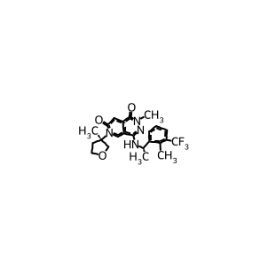 Cc1c([C@@H](C)Nc2nn(C)c(=O)c3cc(=O)n([C@@]4(C)CCOC4)cc23)cccc1C(F)(F)F